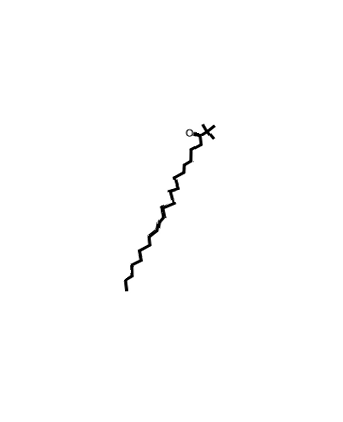 CCCCCCCCCCCCCCCCCCCCCC(=O)C(C)(C)C